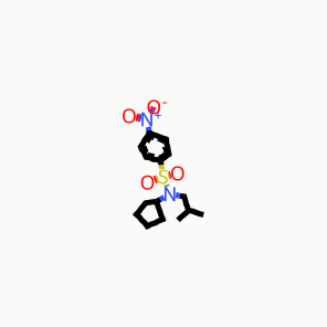 CC(C)CN(C1CCCC1)S(=O)(=O)c1ccc([N+](=O)[O-])cc1